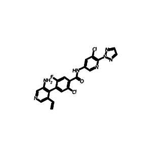 C=Cc1cncc(N)c1-c1cc(Cl)c(C(=O)Nc2cnc(-n3nccn3)c(Cl)c2)cc1F